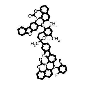 Cc1cc(C)c(B2c3cc4oc5ccccc5c4cc3N3C(=O)Oc4cccc5ccc2c3c45)c(CCC(C)(C)c2ccc3c(c2)oc2c4c(ccc23)B(c2c(F)cccc2F)c2ccc3cccc5c3c2N4C(=O)O5)c1